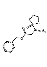 C=C(CC(=O)OCc1ccccc1)P1(=O)SCCS1